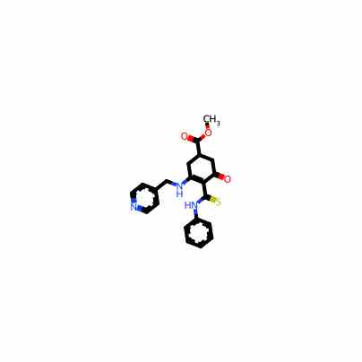 COC(=O)C1CC(=O)C(C(=S)Nc2ccccc2)=C(NCc2ccncc2)C1